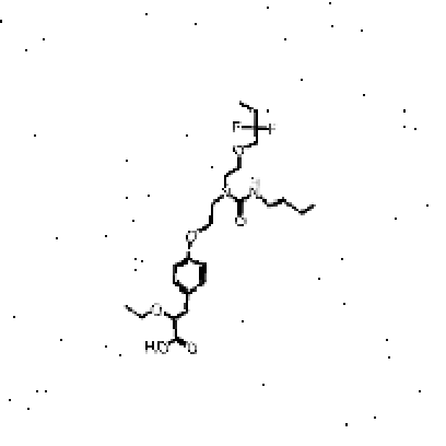 CCCCNC(=O)N(CCOCC(F)(F)CC)CCOc1ccc(CC(OCC)C(=O)O)cc1